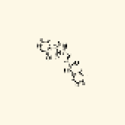 O=Cn1c(SCC(=O)Nc2ccccc2)nnc1-c1ccncc1